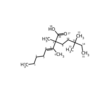 CCCC/C=C(\C)C(C)(CCC(C)(C)CC)C(=O)O